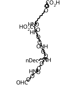 CCCCCCCCCCCCCCC(C)(NCCOCCOCC(=O)NCCOCCOC[C]=O)OCCOCCNC(=O)COCCOCCNC(=O)CC[C@H](NC(=O)CCCCCCCCCOc1ccc(C(=O)O)cc1)C(=O)O